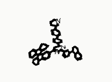 c1cncc(-c2ccc(-c3ccc(-c4cc(-c5ccc6c(c5)C5(c7ccccc7-c7ccccc75)c5ccccc5-6)nc(-c5cccc(-c6cccc7ccccc67)c5)n4)cc3)cc2)c1